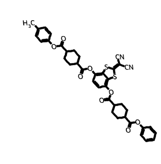 Cc1ccc(OC(=O)C2CCC(C(=O)Oc3ccc(OC(=O)C4CCC(C(=O)Oc5ccccc5)CC4)c4c3SC(=C(C#N)C#N)S4)CC2)cc1